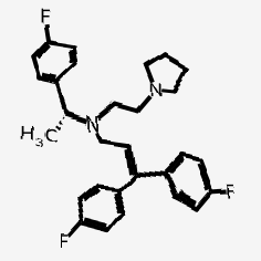 C[C@H](c1ccc(F)cc1)N(CC=C(c1ccc(F)cc1)c1ccc(F)cc1)CCN1CCCC1